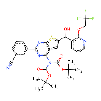 CC(C)(C)OC(=O)N(C(=O)OC(C)(C)C)c1nc(-c2cccc(C#N)c2)nc2sc(C(O)c3cccnc3OCC(F)(F)F)cc12